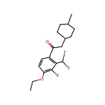 CCOc1ccc(C(=O)CC2CCC(C)CC2)c(C(F)F)c1F